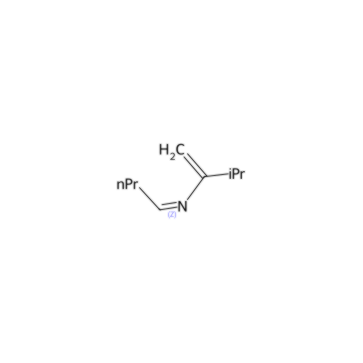 C=C(/N=C\CCC)C(C)C